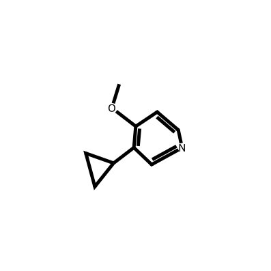 COc1ccncc1C1CC1